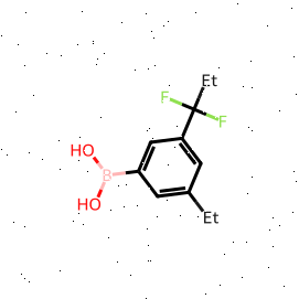 CCc1cc(B(O)O)cc(C(F)(F)CC)c1